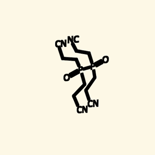 N#CCCP(=O)(CCC#N)P(=O)(CCC#N)CCC#N